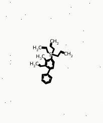 C=CC[Si](CC=C)(CC=C)c1ccc(-c2ccccc2)c(C=C)c1C